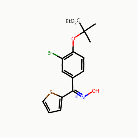 CCOC(=O)C(C)(C)Oc1ccc(/C(=N\O)c2cccs2)cc1Br